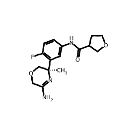 C[C@@]1(c2cc(NC(=O)C3CCOC3)ccc2F)COCC(N)=N1